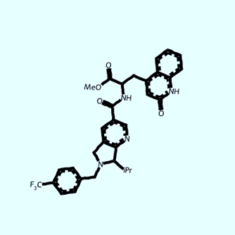 COC(=O)C(Cc1cc(=O)[nH]c2ccccc12)NC(=O)c1cnc2c(c1)CN(Cc1ccc(C(F)(F)F)cc1)C2C(C)C